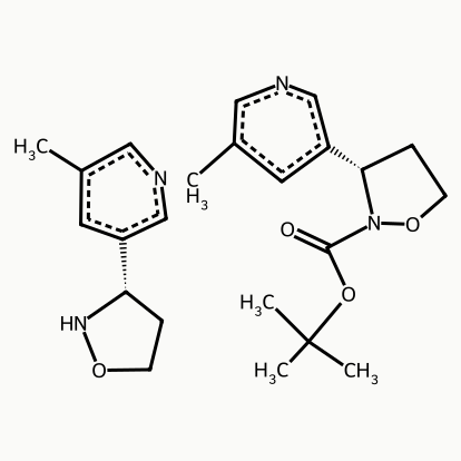 Cc1cncc([C@@H]2CCON2)c1.Cc1cncc([C@@H]2CCON2C(=O)OC(C)(C)C)c1